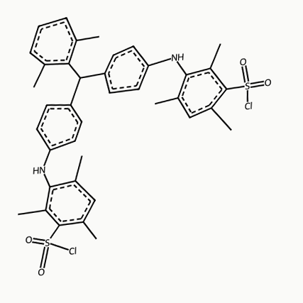 Cc1cc(C)c(S(=O)(=O)Cl)c(C)c1Nc1ccc(C(c2ccc(Nc3c(C)cc(C)c(S(=O)(=O)Cl)c3C)cc2)c2c(C)cccc2C)cc1